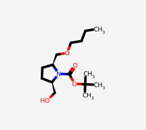 CCCCOC[C@@H]1CC[C@H](CO)N1C(=O)OC(C)(C)C